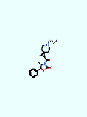 C[C@@H]1[C@H](c2ccccc2)OC(=O)N1C(=O)C1CC12CCN(C(=O)O)CC2